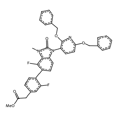 COC(=O)Cc1ccc(-c2ccc3c(c2F)n(C)c(=O)n3-c2ccc(OCc3ccccc3)nc2OCc2ccccc2)c(F)c1